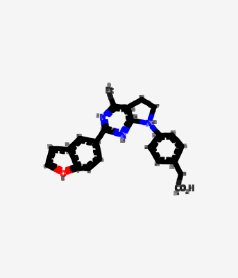 CCc1nc(-c2ccc3occc3c2)nc2c1CCN2c1ccc(CC(=O)O)cc1